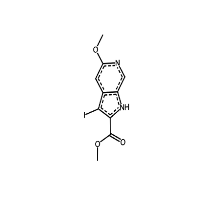 COC(=O)c1[nH]c2cnc(OC)cc2c1I